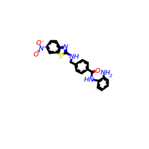 Nc1ccccc1NC(=O)c1ccc(CNc2nc3ccc([N+](=O)[O-])cc3s2)cc1